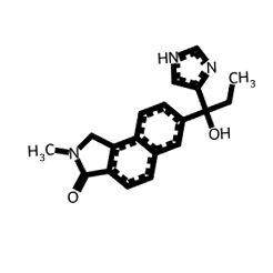 CCC(O)(c1ccc2c3c(ccc2c1)C(=O)N(C)C3)c1c[nH]cn1